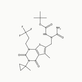 Cc1c(CN(NC(=O)OC(C)(C)C)C(N)=O)sc2c1c(=O)n(C1(C)CC1)c(=O)n2CCC(F)(F)F